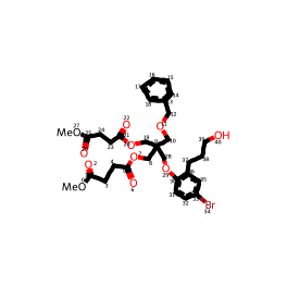 COC(=O)CCC(=O)OCC(COCc1ccccc1)(COC(=O)CCC(=O)OC)COc1ccc(Br)cc1CCCO